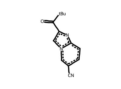 CC(C)(C)C(=O)c1cn2cc(C#N)ccc2n1